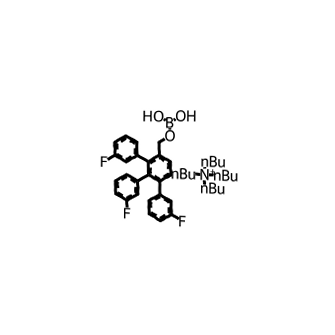 CCCC[N+](CCCC)(CCCC)CCCC.OB(O)OCc1ccc(-c2cccc(F)c2)c(-c2cccc(F)c2)c1-c1cccc(F)c1